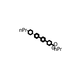 CCCOC(=O)C1=CCC(c2ccc(-c3ccc([C@H]4CC[C@H](CCC)CC4)cc3)cc2)CC1